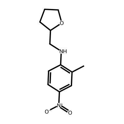 Cc1cc([N+](=O)[O-])ccc1NCC1CCCO1